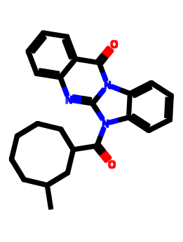 CC1CCCCCC(C(=O)n2c3ccccc3n3c(=O)c4ccccc4nc23)C1